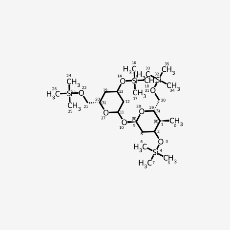 C[C@H]1C(O[Si](C)(C)C)C[C@@H](OC2CC(O[Si](C)(C)C)C[C@@H](CO[Si](C)(C)C)O2)O[C@@H]1CO[Si](C)(C)C